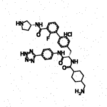 Cl.NCC1CCC(C(=O)N[C@@H](Cc2ccc(-c3cccc(C(=O)N[C@@H]4CCNC4)c3F)cc2)C(=O)Nc2ccc(-c3nn[nH]n3)cc2)CC1